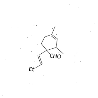 CC/C=C/C1(C=O)CCC(C)=CC1C